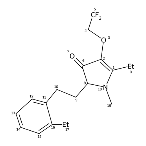 CCC1=C(OCC(F)(F)F)C(=O)C(CCc2ccccc2CC)N1C